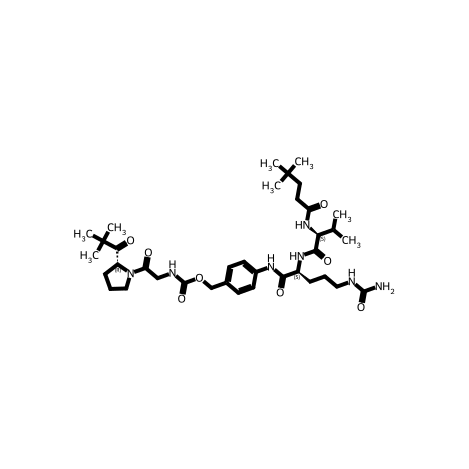 CC(C)[C@H](NC(=O)CCC(C)(C)C)C(=O)N[C@@H](CCCNC(N)=O)C(=O)Nc1ccc(COC(=O)NCC(=O)N2CCC[C@@H]2C(=O)C(C)(C)C)cc1